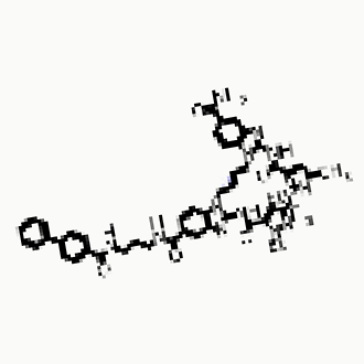 CCn1nc(C)cc1C(=O)Nc1nc2cc(C(N)=O)ccc2n1C/C=C/Cn1c(NC(=O)c2cc(C)nn2CC)nc2cc(C(=O)NCCCNC(=O)c3ccc(-c4ccccc4)cc3)ccc21